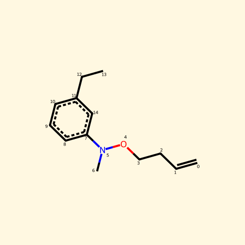 C=CCCON(C)c1cccc(CC)c1